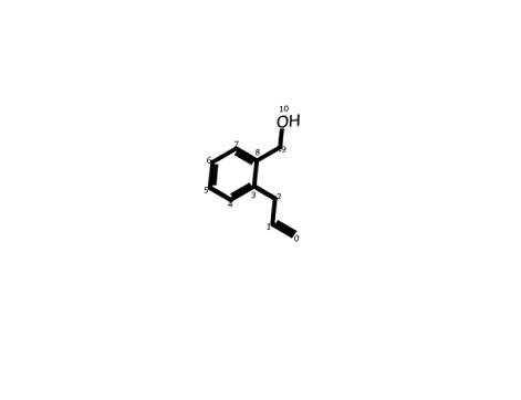 C=CCc1ccccc1[CH]O